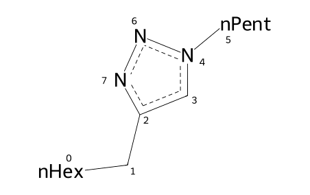 CCCCCCCc1cn(CCCCC)nn1